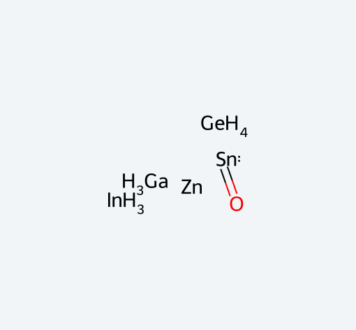 [GaH3].[GeH4].[InH3].[O]=[Sn].[Zn]